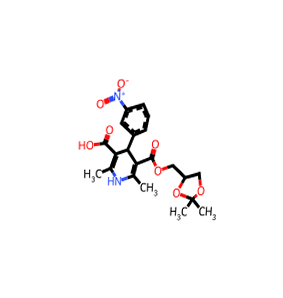 CC1=C(C(=O)O)C(c2cccc([N+](=O)[O-])c2)C(C(=O)OCC2COC(C)(C)O2)=C(C)N1